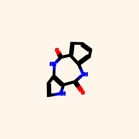 O=C1Nc2cc[nH]c2C(=O)Nc2ccccc21